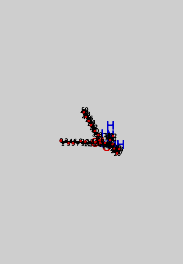 CCCCCCCCCCCCCCOCC(CNC(=O)C(NCc1ccccc1)C1CCNCC1)OCCCCCCCCCCCCCC